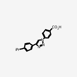 CC(C)c1ccc(-c2cn(-c3ccc(C(=O)O)cc3)nn2)cc1